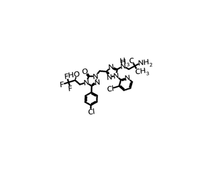 CC(C)(N)CNc1nc(Cn2nc(-c3ccc(Cl)cc3)n(C[C@H](O)C(F)(F)F)c2=O)nn1-c1ncccc1Cl